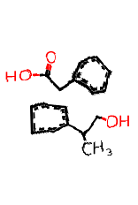 CC(CO)c1ccccc1.O=C(O)Cc1ccccc1